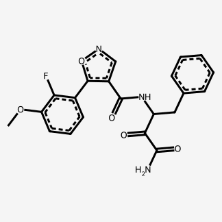 COc1cccc(-c2oncc2C(=O)NC(Cc2ccccc2)C(=O)C(N)=O)c1F